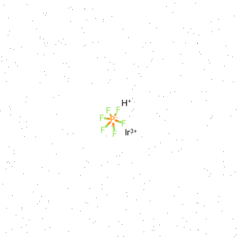 F[P-](F)(F)(F)(F)F.[H+].[Ir+3]